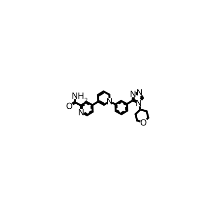 NC(=O)c1cc(C2=CN(c3cccc(-c4nncn4C4CCOCC4)c3)CC=C2)ccn1